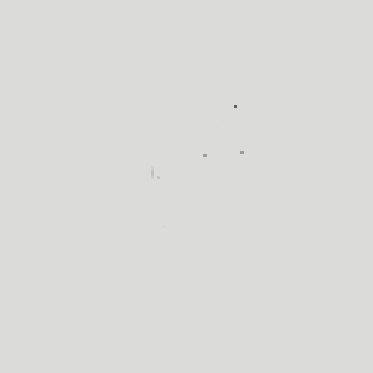 Cn1c(=NC#N)n(-c2ccc(C(F)(F)F)nc2)c2c3cc(-c4ccc5[nH]ccc5c4)ccc3ncc21